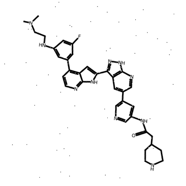 CN(C)CCNc1cc(F)cc(-c2ccnc3[nH]c(-c4n[nH]c5ncc(-c6cncc(NC(=O)CC7CCNCC7)c6)cc45)cc23)c1